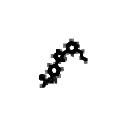 CCCc1cc(-c2nc(-c3ccc(N[S+](C)[O-])cc3)cs2)ccn1